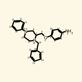 Nc1ccc(OCC2CN(c3ccccc3)CCN2Cc2ccccc2)cc1